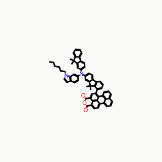 CCCCCCn1ccc2ccc(N(c3ccc4c(c3)C(C)(C)c3ccccc3-4)c3ccc4c(c3)C(C)(C)c3c-4cccc3-c3cc4c5c(ccc6c7cccc8cccc(c3c56)c87)C(=O)OC4=O)cc21